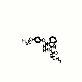 COC(=O)Nc1nc2ccccc2n1C(=N)Oc1ccc(OC)cc1